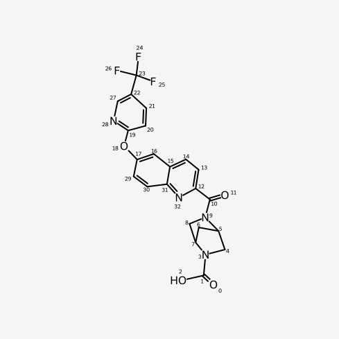 O=C(O)N1CC2CC1CN2C(=O)c1ccc2cc(Oc3ccc(C(F)(F)F)cn3)ccc2n1